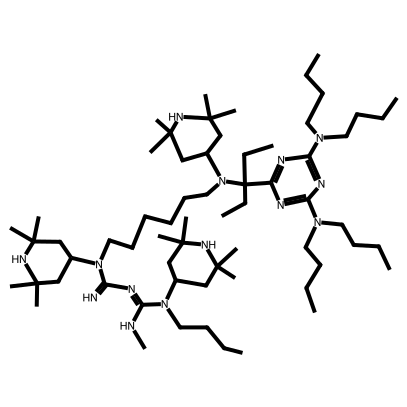 CCCCN(CCCC)c1nc(N(CCCC)CCCC)nc(C(CC)(CC)N(CCCCCCN(C(=N)/N=C(\NC)N(CCCC)C2CC(C)(C)NC(C)(C)C2)C2CC(C)(C)NC(C)(C)C2)C2CC(C)(C)NC(C)(C)C2)n1